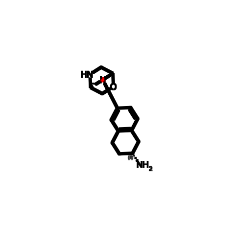 N[C@@H]1CCc2cc(N3CC4COC(CN4)C3)ccc2C1